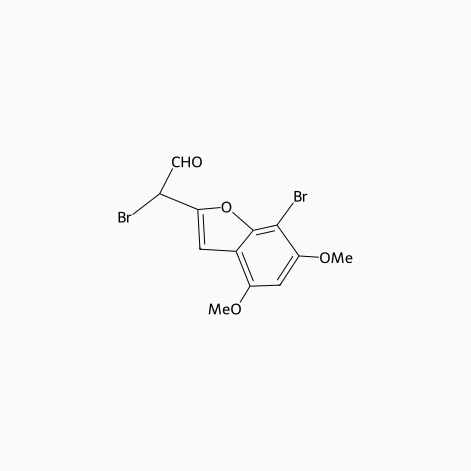 COc1cc(OC)c2cc(C(Br)C=O)oc2c1Br